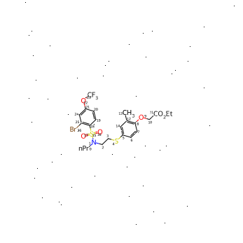 CCCN(CCSc1ccc(OCC(=O)OCC)c(C)c1)S(=O)(=O)c1ccc(OC(F)(F)F)cc1Br